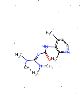 Cc1ccnc(C)c1NC(=O)N=C(N(C)C)N(C)C